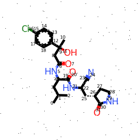 CC(C)CC(NC(=O)CC(C)(O)c1ccc(Cl)cc1)C(=O)NC(C#N)C[C@@H]1CCNC1=O